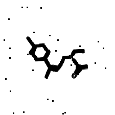 C=CN(C/C=C(/C)C1CC=C(C)CC1)C(C)=O